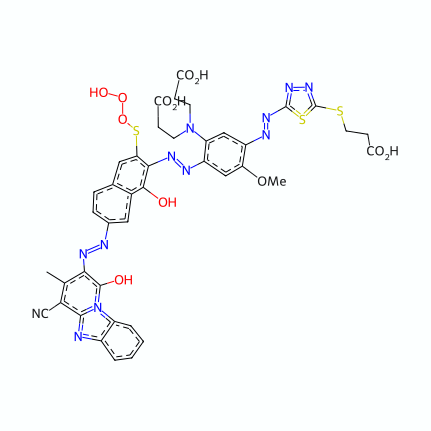 COc1cc(N=Nc2c(SOOO)cc3ccc(N=Nc4c(C)c(C#N)c5nc6ccccc6n5c4O)cc3c2O)c(N(CCC(=O)O)CCC(=O)O)cc1N=Nc1nnc(SCCC(=O)O)s1